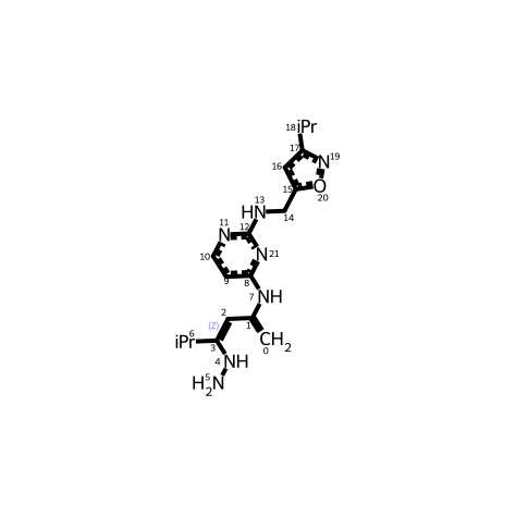 C=C(/C=C(\NN)C(C)C)Nc1ccnc(NCc2cc(C(C)C)no2)n1